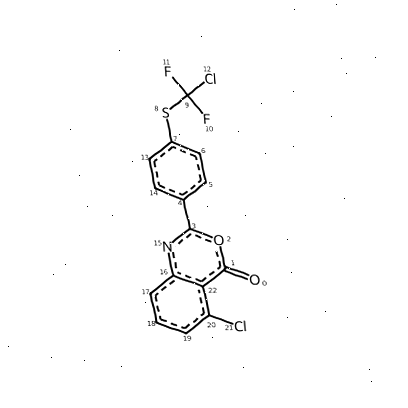 O=c1oc(-c2ccc(SC(F)(F)Cl)cc2)nc2cccc(Cl)c12